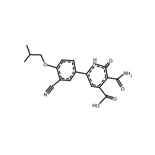 CC(C)COc1ccc(-c2cc(C(=O)O)c(C(N)=O)c(=O)[nH]2)cc1C#N